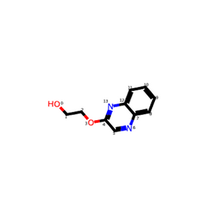 OCCOc1cnc2ccccc2n1